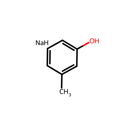 Cc1cccc(O)c1.[NaH]